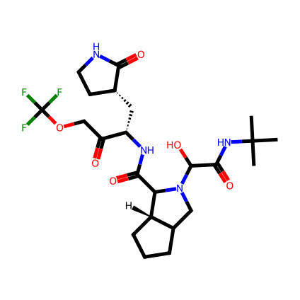 CC(C)(C)NC(=O)C(O)N1CC2CCC[C@@H]2C1C(=O)N[C@@H](C[C@@H]1CCNC1=O)C(=O)COC(F)(F)F